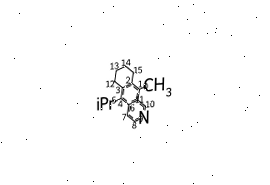 Cc1c2c(c(C(C)C)c3ccncc13)CCCC2